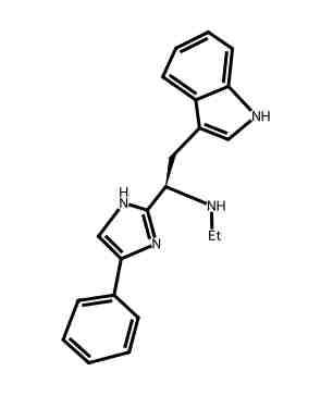 CCN[C@H](Cc1c[nH]c2ccccc12)c1nc(-c2ccccc2)c[nH]1